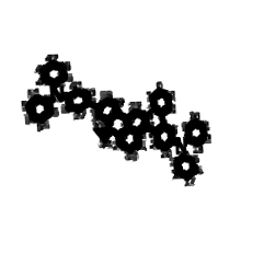 c1ccc(-c2cc(N(c3ccccc3)c3ccccc3)ccc2-c2ccc3c4c(cccc24)C2(CC2)c2cc(-c4ccc(N(c5ccccc5)c5ccccc5)cc4)ccc2-3)cc1